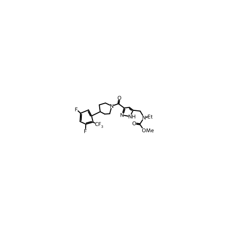 CCN(Cc1cc(C(=O)N2CCC(c3cc(F)cc(F)c3C(F)(F)F)CC2)n[nH]1)C(=O)OC